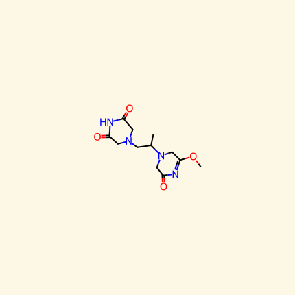 COC1=NC(=O)CN(C(C)CN2CC(=O)NC(=O)C2)C1